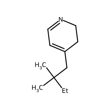 CCC(C)(C)CC1=CC=NCC1